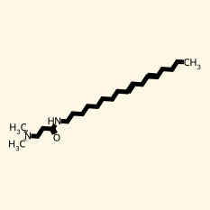 CCCC/C=C/C/C=C/CCCCCCCCNC(=O)CCN(C)C